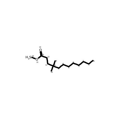 CCCCCCCCC(C)(C)CCC(=O)O[SiH3]